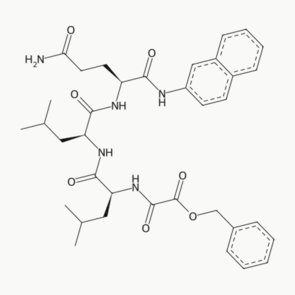 CC(C)C[C@H](NC(=O)C(=O)OCc1ccccc1)C(=O)N[C@@H](CC(C)C)C(=O)N[C@@H](CCC(N)=O)C(=O)Nc1ccc2ccccc2c1